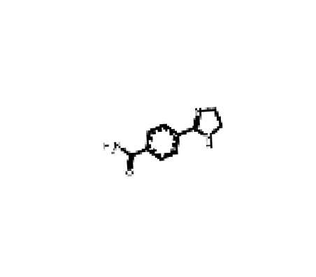 NC(=O)c1ccc(C2=NCCN2)cc1